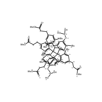 COC(=O)CCc1cc(C(C)(C)C)c(C(C)C(c2c(C(C)(C)C)cc(CCC(=O)OC)cc2C(C)(C)C)(c2c(C(C)(C)C)cc(CCC(=O)OC)cc2C(C)(C)C)C(c2cc(C(C)(C)C)c(OP(O)O)cc2C)(c2cc(C(C)(C)C)c(OP(O)O)cc2C)c2c(C(C)(C)C)cc(CCC(=O)OC)cc2C(C)(C)C)c(C(C)(C)C)c1